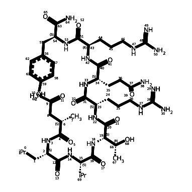 CC(C)C[C@H](NC(=O)[C@@H](C)CC(N)=O)C(=O)N[C@H](C(=O)N[C@H](C(=O)N[C@@H](CCCNC(=N)N)C(=O)N[C@@H](CCC(N)=O)C(=O)N[C@H](CCCNC(=N)N)C(=O)N[C@@H](Cc1ccc(O)cc1)C(N)=O)[C@@H](C)O)C(C)C